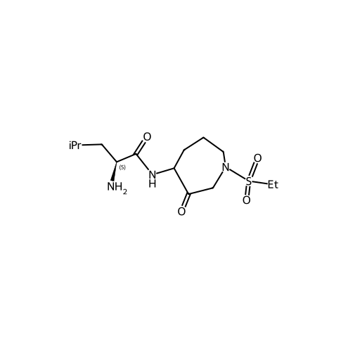 CCS(=O)(=O)N1CCCC(NC(=O)[C@@H](N)CC(C)C)C(=O)C1